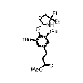 CCC1(CC)COP(Oc2c(C(C)(C)C)cc(CCC(=O)OC)cc2C(C)(C)C)N1